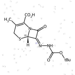 CC1=C(C(=O)O)N2C(=O)/C(=N\NC(=O)OC(C)(C)C)[C@@H]2SC1